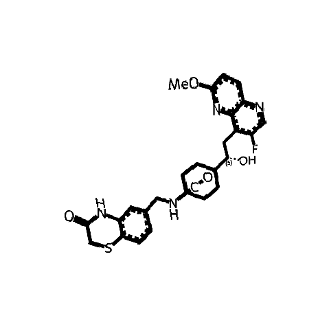 COc1ccc2ncc(F)c(C[C@H](O)C34CCC(NCc5ccc6c(c5)NC(=O)CS6)(CC3)CO4)c2n1